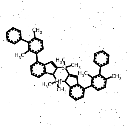 Cc1ccc(-c2cccc3c2C=C2[CH]3[Hf]([CH3])([CH3])[CH]3C(=Cc4c(-c5ccc(C)c(-c6ccccc6)c5C)cccc43)[Si]2(C)C)c(C)c1-c1ccccc1